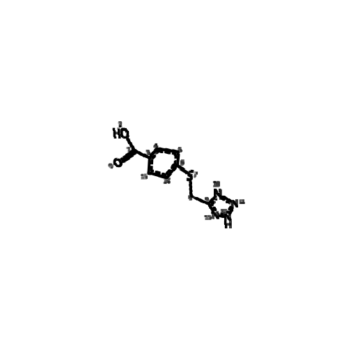 O=C(O)c1ccc(SCc2nn[nH]n2)cc1